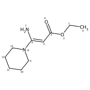 CCOC(=O)/C=C(\N)N1CCCCC1